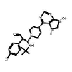 C[C@@H]1C[C@@H](O)c2ncnc(N3CCN(C(NC(C)(C)C)C(C=O)c4ccc(Cl)cc4)CC3)c21